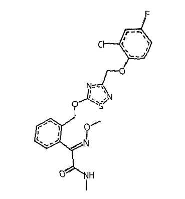 CNC(=O)/C(=N/OC)c1ccccc1COc1nc(COc2ccc(F)cc2Cl)ns1